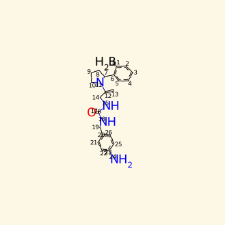 Bc1ccccc1C1CCCN1C(=C)CNC(=O)NCc1ccc(N)cc1